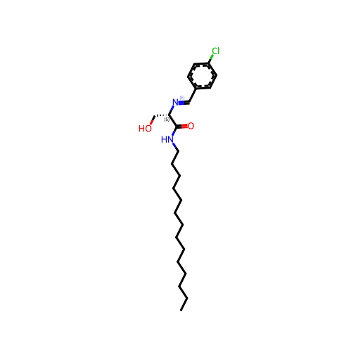 CCCCCCCCCCCCCCNC(=O)[C@H](CO)/N=C/c1ccc(Cl)cc1